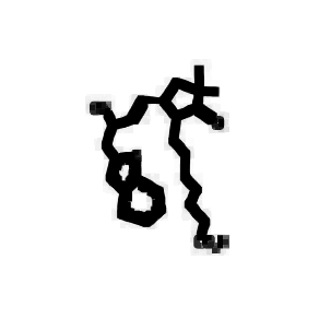 CC1(C)C[C@H](/C=C/C(Cc2cc3ccccc3s2)N=O)C(CCCCCCC(=O)O)C1=O